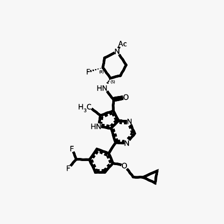 CC(=O)N1CC[C@H](NC(=O)c2c(C)[nH]c3c(-c4cc(C(F)F)ccc4OCC4CC4)ncnc23)[C@H](F)C1